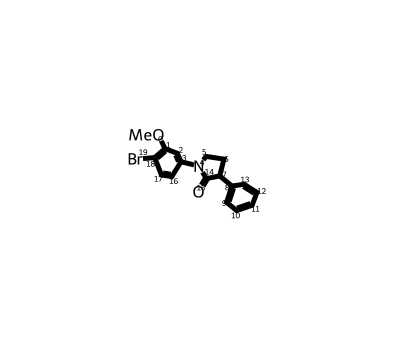 COc1cc(N2CCC(c3ccccc3)C2=O)ccc1Br